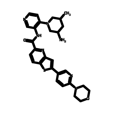 CC1CC(N)CN(c2ccncc2NC(=O)c2ccc3sc(-c4ccc(N5CCOCC5)nc4)cc3n2)C1